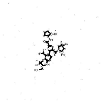 CC[C@H](Nc1cc(C(F)F)c(-c2sc(C(=O)N[C@H]3CCC[C@@H]3O)nc2C(=O)N2CC(F)(F)C[C@@H]2C)cn1)C(F)(F)F